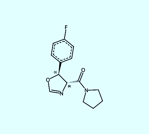 O=C([C@@H]1N=CO[C@H]1c1ccc(F)cc1)N1CCCC1